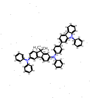 CC1(C)c2ccc(N(c3ccccc3)c3ccccc3)cc2-c2ccc(N(c3ccccc3)c3ccc(-c4ccc5c6ccccc6n(-c6ccccc6)c5c4)cc3)cc21